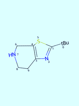 CC(C)(C)c1nc2c(s1)CNCC2